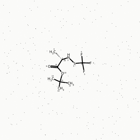 C[C@H](NSC(F)(F)F)C(=O)OC(C)(C)C